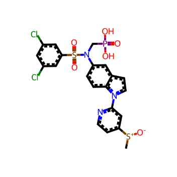 C[S+]([O-])c1ccnc(-n2ccc3cc(N(CP(=O)(O)O)S(=O)(=O)c4cc(Cl)cc(Cl)c4)ccc32)c1